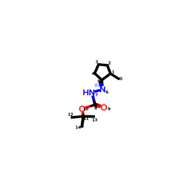 CC1CCC/C1=N\NC(=O)OC(C)(C)C